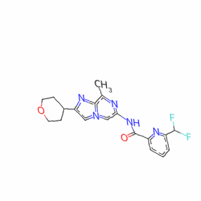 Cc1nc(NC(=O)c2cccc(C(F)F)n2)cn2cc(C3CCOCC3)nc12